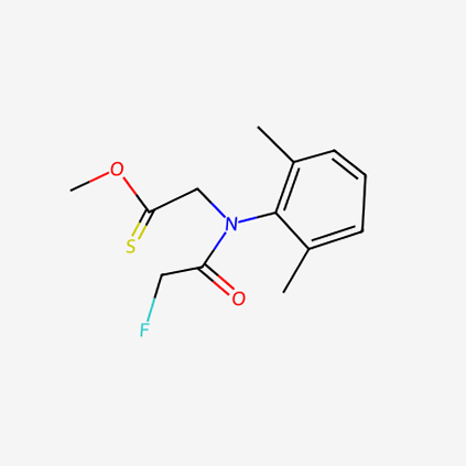 COC(=S)CN(C(=O)CF)c1c(C)cccc1C